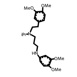 COc1ccc(CCN(CCCNc2ccc(OC)c(OC)c2)C(C)C)cc1OC